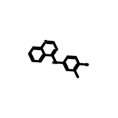 Cc1cc(Nc2ncnc3ccccc23)ccc1Br